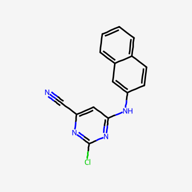 N#Cc1cc(Nc2ccc3ccccc3c2)nc(Cl)n1